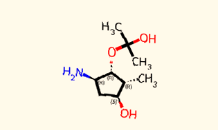 C[C@H]1[C@@H](OC(C)(C)O)[C@H](N)C[C@@H]1O